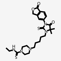 CCNC(=S)N1CCN(CCCCCN2C(=S)N(c3ccc4c(c3)COC4=O)C(=O)C2(C)C)CC1